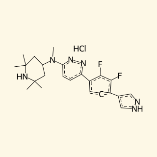 CN(c1ccc(-c2ccc(-c3cn[nH]c3)c(F)c2F)nn1)C1CC(C)(C)NC(C)(C)C1.Cl